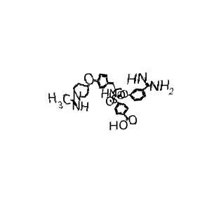 CC(=N)N1CCC(Oc2ccc(C[C@@H](COc3cccc(C(=N)N)c3)NS(=O)(=O)c3ccc(C(=O)O)cc3)cc2)CC1